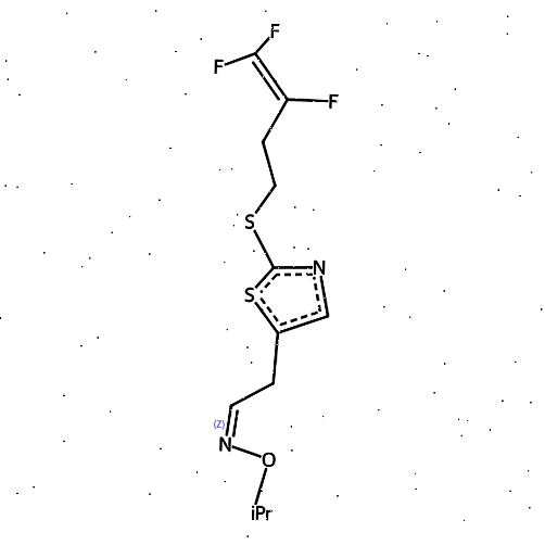 CC(C)O/N=C\Cc1cnc(SCCC(F)=C(F)F)s1